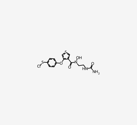 NC(=O)NCCN(O)C(=O)c1cscc1Oc1ccc(SCl)cc1